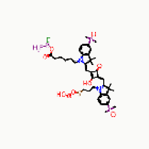 CC1(C)C(/C=C2/C(=O)C(/C=C3/N(CCCCCC(=O)OP(F)P)c4ccc(P(C)(C)=O)cc4C3(C)C)=C2O)=[N+](CCCSOOO)c2ccc(P(C)(C)=O)cc21